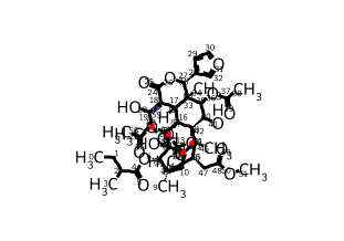 CCC(C)C(=O)O[C@H]1[C@]2(C)C[C@@]34O[C@]5(C)O[C@]6([C@@H]7/C(=C(/O)C(C)C)C(=O)O[C@@H](c8ccoc8)[C@]7(C)C(OC(C)=O)C(O)[C@]6(O5)[C@]3(C)[C@H]2CC(=O)OC)[C@H](OC(C)=O)[C@@]14O